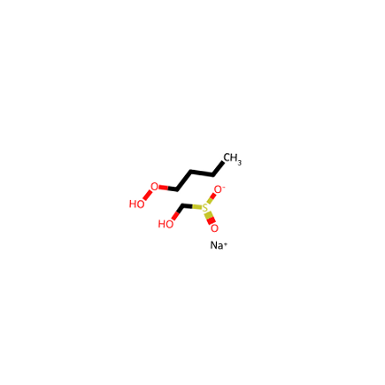 CCCCOO.O=S([O-])CO.[Na+]